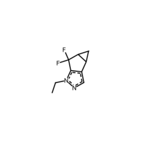 CCn1ncc2c1C(F)(F)C1CC21